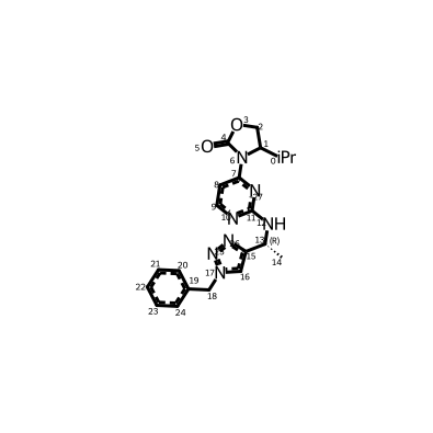 CC(C)C1COC(=O)N1c1ccnc(N[C@H](C)c2cn(Cc3ccccc3)nn2)n1